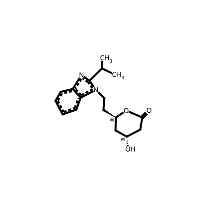 CC(C)c1nc2ccccc2n1CC[C@@H]1C[C@@H](O)CC(=O)O1